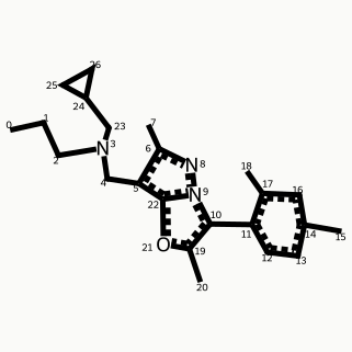 CCCN(Cc1c(C)nn2c(-c3ccc(C)cc3C)c(C)oc12)CC1CC1